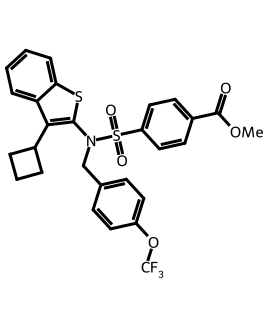 COC(=O)c1ccc(S(=O)(=O)N(Cc2ccc(OC(F)(F)F)cc2)c2sc3ccccc3c2C2CCC2)cc1